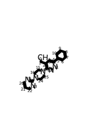 CCc1cc(-c2ccccc2)nnc1N1CCN(c2ncccn2)CC1